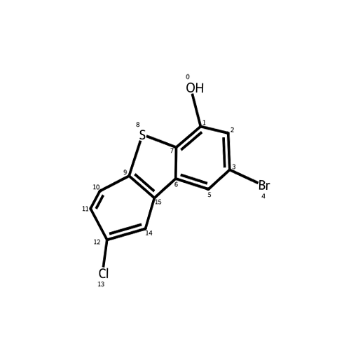 Oc1cc(Br)cc2c1sc1ccc(Cl)cc12